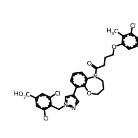 Cc1c(Cl)cccc1OCCCC(=O)N1CCCOc2c(-c3cnn(Cc4c(Cl)cc(C(=O)O)cc4Cl)c3)cccc21